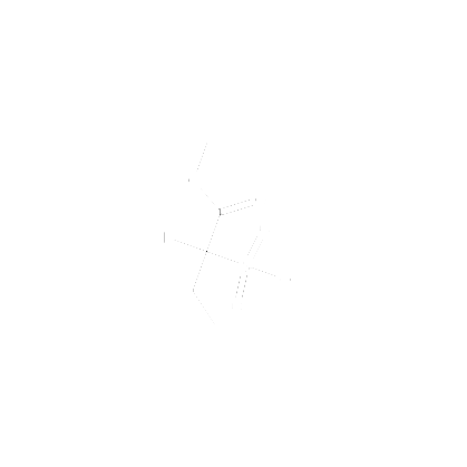 CCC(F)(C(=O)OC)S(=O)(=O)O